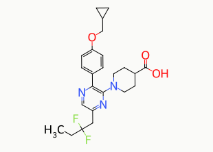 CCC(F)(F)Cc1cnc(-c2ccc(OCC3CC3)cc2)c(N2CCC(C(=O)O)CC2)n1